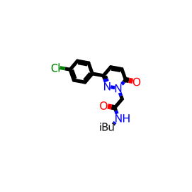 CCC(C)NC(=O)Cn1nc(-c2ccc(Cl)cc2)ccc1=O